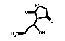 C=CCC(O)N1C(=O)CNC1=O